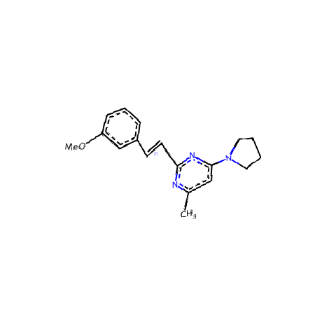 COc1cccc(/C=C/c2nc(C)cc(N3CCCC3)n2)c1